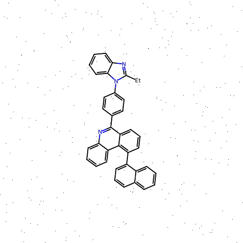 CCc1nc2ccccc2n1-c1ccc(-c2nc3ccccc3c3c(-c4cccc5ccccc45)cccc23)cc1